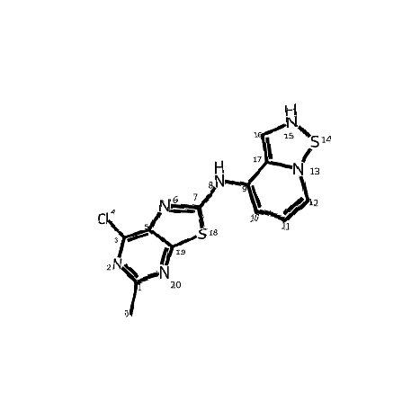 Cc1nc(Cl)c2nc(NC3=CC=CN4SNC=C34)sc2n1